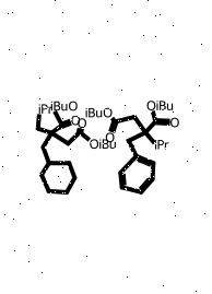 CC(C)COC(=O)CC(CC(C)C)(CC1CCCCC1)C(=O)OCC(C)C.CC(C)COC(=O)CC(Cc1ccccc1)(C(=O)OCC(C)C)C(C)C